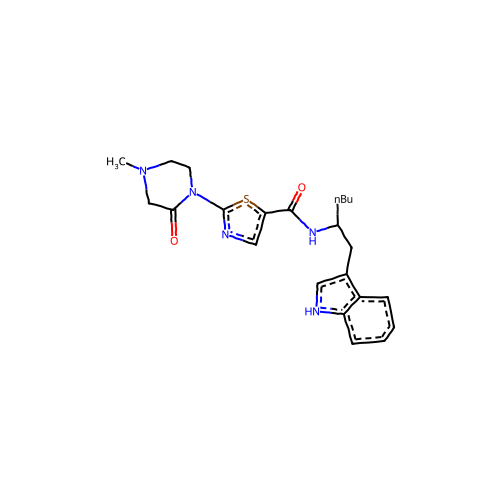 CCCCC(Cc1c[nH]c2ccccc12)NC(=O)c1cnc(N2CCN(C)CC2=O)s1